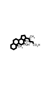 C[C@H](CCC(=O)O)C1CCC2C3CCC4CCCCC4(C)C3C[C@H](O)C21C